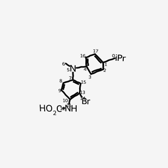 CC(C)c1ccc(N(C)c2ccc(NC(=O)O)c(Br)c2)cc1